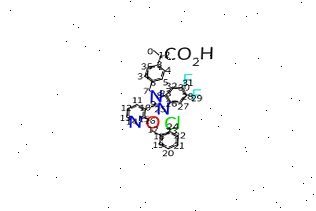 CC(C(=O)O)c1ccc(Cn2c(-c3cccnc3OCc3ccccc3Cl)nc3cc(F)c(F)cc32)cc1